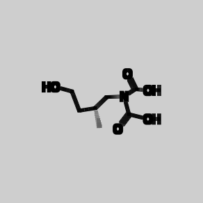 C[C@H](CCO)CN(C(=O)O)C(=O)O